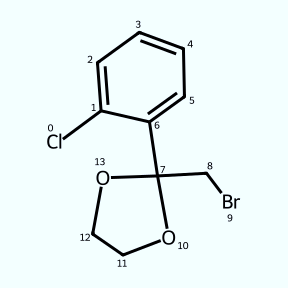 Clc1ccccc1C1(CBr)OCCO1